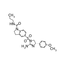 CCCNC(=O)N1CCc2cc(S(=O)(=O)N3C[C@H](c4ccc(OC)cc4)N=C3N)ccc21